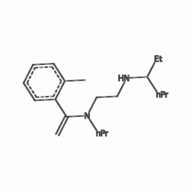 C=C(c1ccccc1C)N(CCC)CCNC(CC)CCC